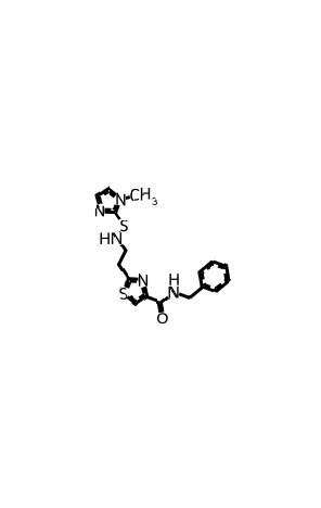 Cn1ccnc1SNCCc1nc(C(=O)NCc2ccccc2)cs1